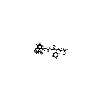 CC(=O)OCCN(C(=O)CCCCOc1ccc(C)c(C=O)c1[N+](=O)[O-])C1CCCCC1